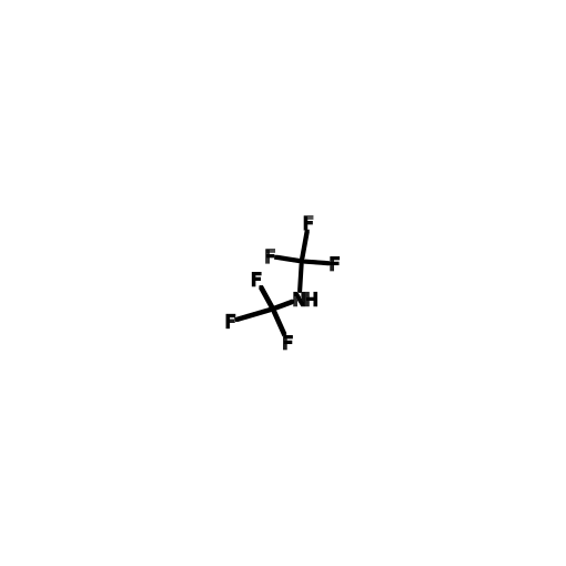 FC(F)(F)NC(F)(F)F